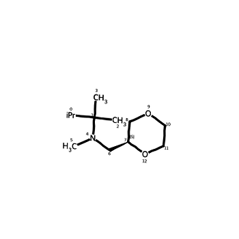 CC(C)C(C)(C)N(C)C[C@H]1COCCO1